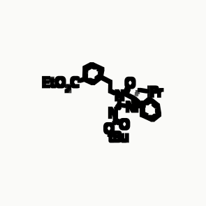 CCOC(=O)c1cccc(CCN2C(=O)[C@@](CC(C)C)(c3ccccc3)NC2=NC(=O)OC(C)(C)C)c1